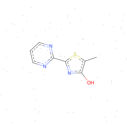 Cc1sc(-c2ncccn2)nc1O